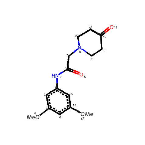 COc1cc(NC(=O)CN2CCC(=O)CC2)cc(OC)c1